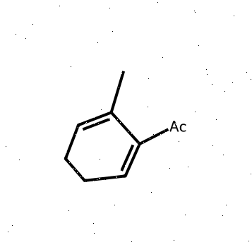 CC(=O)C1=CCCC=C1C